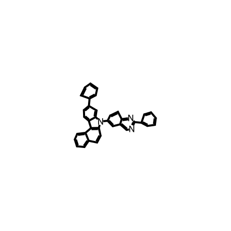 c1ccc(-c2ccc3c4c5ccccc5ccc4n(-c4ccc5nc(-c6ccccc6)ncc5c4)c3c2)cc1